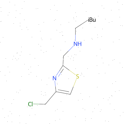 CCC(C)CNCc1nc(CCl)cs1